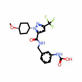 CO[C@H]1CC[C@H](n2nc(C(F)(F)F)cc2C(=O)NCc2cccc(NC(=O)O)c2)CC1